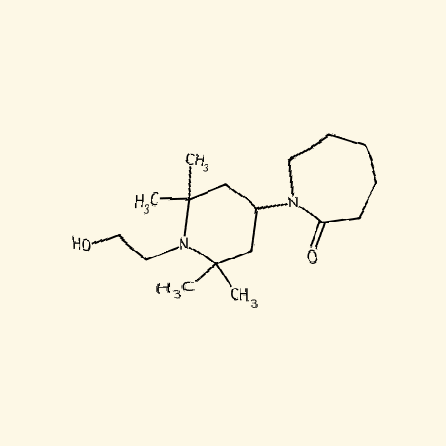 CC1(C)CC(N2CCCCCC2=O)CC(C)(C)N1CCO